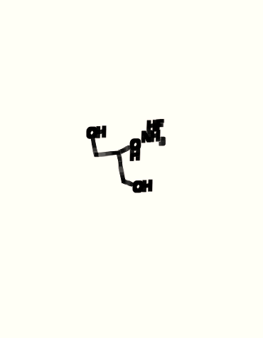 F.N.OCC(O)CO